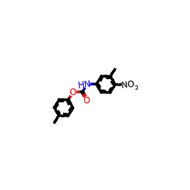 Cc1ccc(OC(=O)Nc2ccc([N+](=O)[O-])c(C)c2)cc1